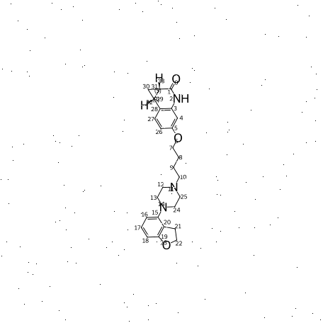 O=C1Nc2cc(OCCCCN3CCN(c4cccc5c4CCO5)CC3)ccc2[C@@H]2C[C@H]12